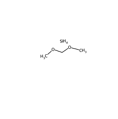 COCOC.[SiH4]